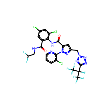 O=C(NCC(F)F)c1cc(Cl)cc(Cl)c1NC(=O)c1cc(Cn2nnc(C(F)(C(F)(F)F)C(F)(F)F)n2)nn1-c1ncccc1Cl